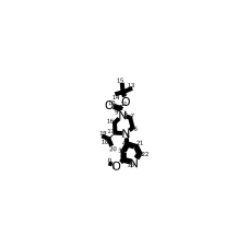 COc1cc(N2CCN(C(=O)OC(C)(C)C)C[C@H]2C(C)C)ccn1